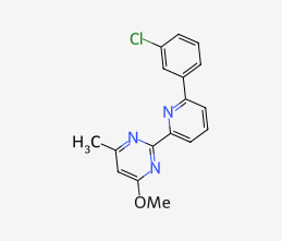 COc1cc(C)nc(-c2cccc(-c3cccc(Cl)c3)n2)n1